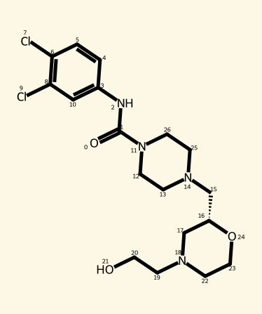 O=C(Nc1ccc(Cl)c(Cl)c1)N1CCN(C[C@H]2CN(CCO)CCO2)CC1